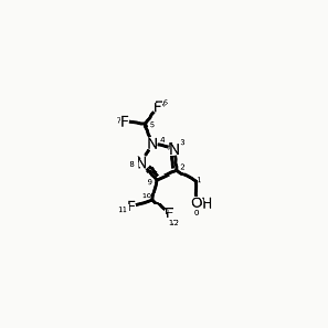 OCc1nn(C(F)F)nc1C(F)F